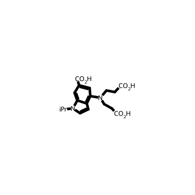 CC(C)n1ccc2c(N(CCC(=O)O)CCC(=O)O)cc(C(=O)O)cc21